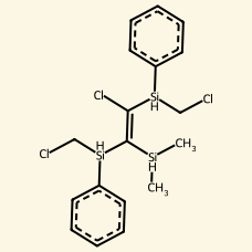 C[SiH](C)C(=C(Cl)[SiH](CCl)c1ccccc1)[SiH](CCl)c1ccccc1